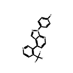 Fc1ccc(-n2ncc3c(-c4cnccc4C(F)(F)F)ccnc32)cc1